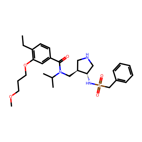 CCc1ccc(C(=O)N(C[C@H]2CNC[C@@H]2NS(=O)(=O)Cc2ccccc2)C(C)C)cc1OCCCOC